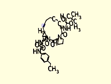 CCc1ccc(NS(=O)(=O)NC(=O)[C@@]23C[C@H]2/C=C\CCCCC[C@H](NC(=O)OC(C)(C)C)C(=O)N2CCC[C@H]2C(=O)N3)cc1